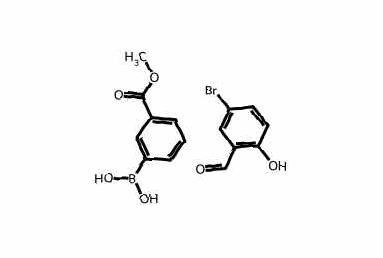 COC(=O)c1cccc(B(O)O)c1.O=Cc1cc(Br)ccc1O